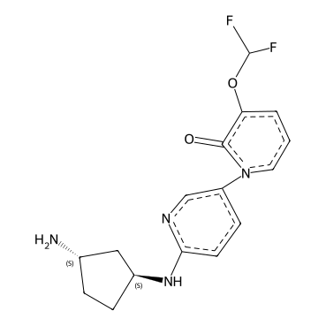 N[C@H]1CC[C@H](Nc2ccc(-n3cccc(OC(F)F)c3=O)cn2)C1